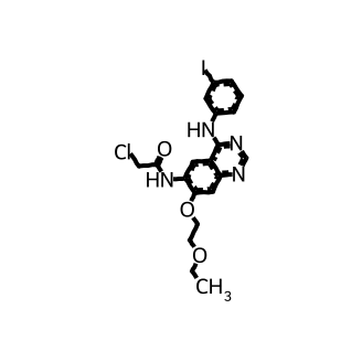 CCOCCOc1cc2ncnc(Nc3cccc(I)c3)c2cc1NC(=O)CCl